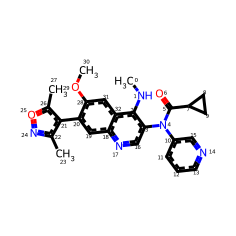 CNc1c(N(C(=O)C2CC2)c2cccnc2)cnc2cc(-c3c(C)noc3C)c(OC)cc12